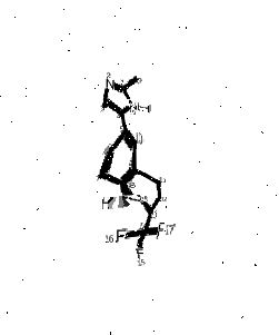 Cc1ncc(-c2ccc3c(c2)CCC(C(F)(F)F)N3)[nH]1